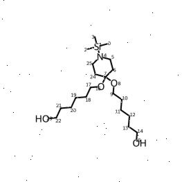 C[Si](C)(C)N1CCC(OCCCCCCO)(OCCCCCCO)CC1